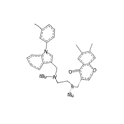 Cc1cccc(-n2cc(CN(CCN(Cc3coc4cc(C)c(C)cc4c3=O)C(C)(C)C)C(C)(C)C)c3ccccc32)c1